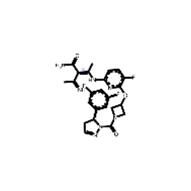 CC(=N)/C(C(N)=O)=C(/C)Nc1ccc(F)c(OC2CN(C(=O)N3N=CCC3c3cc(F)cc(F)c3)C2)n1